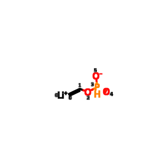 C=CO[PH](=O)[O-].[Li+]